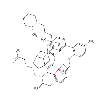 C=C(Cc1ccc(COc2ccc(C)cc2-c2ccc(C)c(C3CC4CCC(C3)C4c3cccc(CCCC4CCCC[C@H]4C)c3)c2)cc1)[C@H](CCCCC(C)=O)CC(=O)C1(C(=O)CCC)CCC1